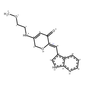 COCCNC1=CC(=O)/C(=C/c2c[nH]c3ncccc23)OC1